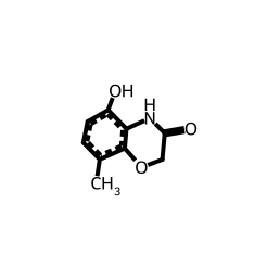 Cc1ccc(O)c2c1OCC(=O)N2